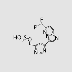 O=S(=O)(O)OCc1cc(-c2cnc3ccc(C(F)F)nn23)ncn1